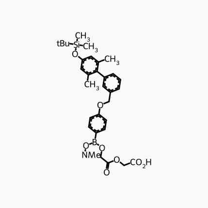 CNOB(OCC(=O)OCC(=O)O)c1ccc(OCc2cccc(-c3c(C)cc(O[Si](C)(C)C(C)(C)C)cc3C)c2)cc1